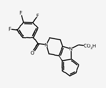 O=C(O)Cn1c2c(c3ccccc31)CN(C(=O)c1cc(F)c(F)c(F)c1)CC2